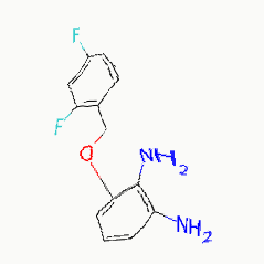 Nc1cccc(OCc2ccc(F)cc2F)c1N